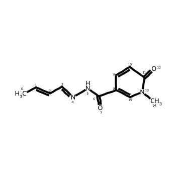 CC=CC=NNC(=O)c1ccc(=O)n(C)c1